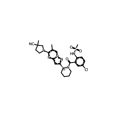 Cc1cn2nc([C@@H]3CCCCN3C(=O)c3cc(Cl)ccc3NS(C)(=O)=O)cc2nc1N1CCC(C)(C#N)C1